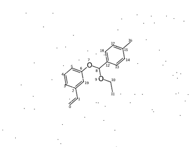 C=Cc1cccc(OC(OCC)c2ccc(C)cc2)c1